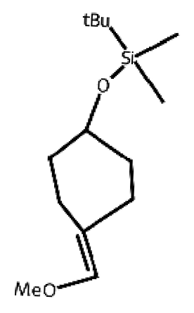 COC=C1CCC(O[Si](C)(C)C(C)(C)C)CC1